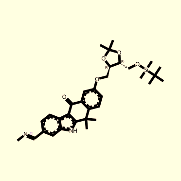 C/N=C/c1ccc2c3c([nH]c2c1)C(C)(C)c1ccc(OC[C@H]2OC(C)(C)O[C@@H]2CO[Si](C)(C)C(C)(C)C)cc1C3=O